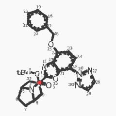 CC(C)(C)OC(=O)N1C2CCC1CN(c1nc3c(OCc4ccccc4)ccc(-n4nccn4)c3o1)C2